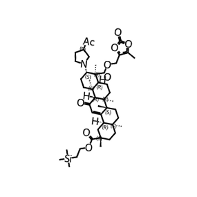 CC(=O)[C@@H]1CCN([C@H]2CC[C@@]3(C)[C@@H](CC[C@]4(C)[C@@H]3C(=O)C=C3[C@@H]5C[C@@](C)(C(=O)OCC[Si](C)(C)C)CC[C@]5(C)CC[C@]34C)[C@]2(C)C(=O)OCc2oc(=O)oc2C)C1